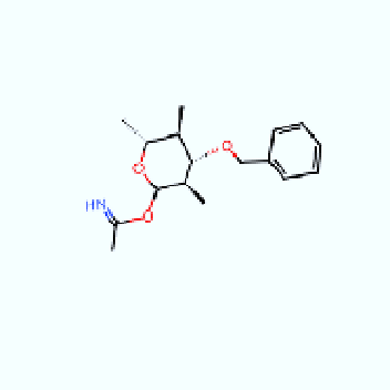 CC(=N)OC1O[C@H](C)[C@@H](C)[C@H](OCc2ccccc2)[C@H]1C